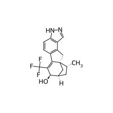 C[C@@H]1C[C@@H]2C[C@]13Cc1c(ccc4[nH]ncc14)C3=C(C(F)(F)F)[C@@H]2O